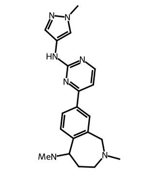 CNC1CCN(C)Cc2cc(-c3ccnc(Nc4cnn(C)c4)n3)ccc21